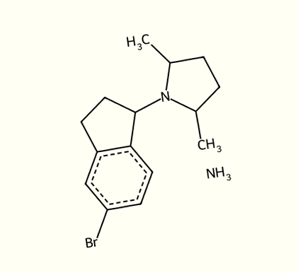 CC1CCC(C)N1C1CCc2cc(Br)ccc21.N